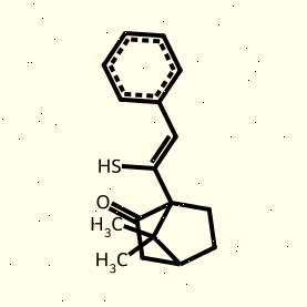 CC1(C)C2CCC1(C(S)=Cc1ccccc1)C(=O)C2